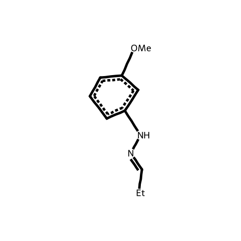 CCC=NNc1cccc(OC)c1